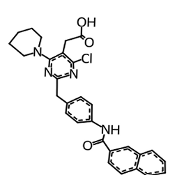 O=C(O)Cc1c(Cl)nc(Cc2ccc(NC(=O)c3ccc4ccccc4c3)cc2)nc1N1CCCCC1